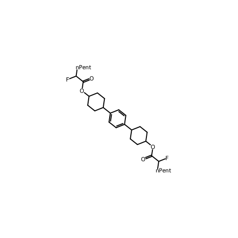 CCCCCC(F)C(=O)OC1CCC(c2ccc(C3CCC(OC(=O)C(F)CCCCC)CC3)cc2)CC1